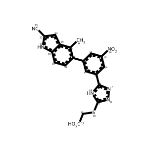 Cc1c(-c2cc(-c3nnc(SCC(=O)O)[nH]3)cc([N+](=O)[O-])c2)ccc2[nH]c(C#N)cc12